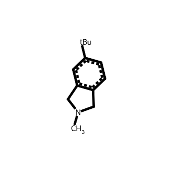 CN1Cc2ccc(C(C)(C)C)cc2C1